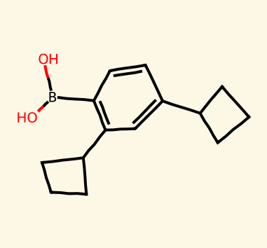 OB(O)c1ccc(C2CCC2)cc1C1CCC1